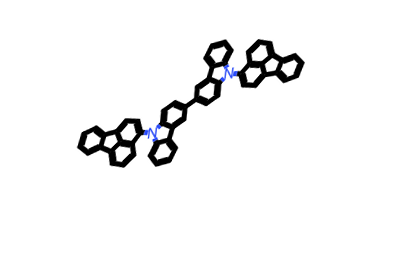 c1ccc2c(c1)-c1cccc3c(-n4c5ccccc5c5cc(-c6ccc7c(c6)c6ccccc6n7-c6ccc7c8c(cccc68)-c6ccccc6-7)ccc54)ccc-2c13